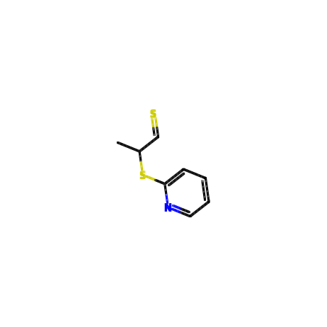 CC(C=S)Sc1ccccn1